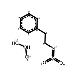 O=S(=O)=NCCc1ccccc1.OBO